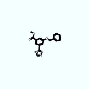 COC(=O)c1cc(OCc2ccccc2)cc(-c2nnn[nH]2)c1